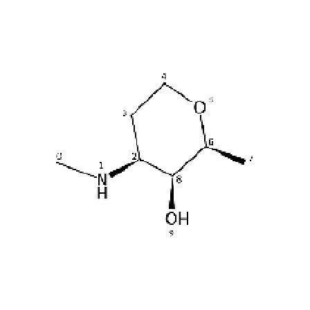 CN[C@H]1CCO[C@@H](C)[C@H]1O